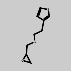 c1cc(CCOCC2CO2)cs1